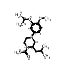 COc1ccc(N2CCN(C(N)=O)C(CC(C)C)C2)cc1OC(C)C